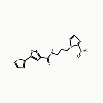 O=C(NCCCn1ccnc1[N+](=O)[O-])c1cc(-c2ccco2)on1